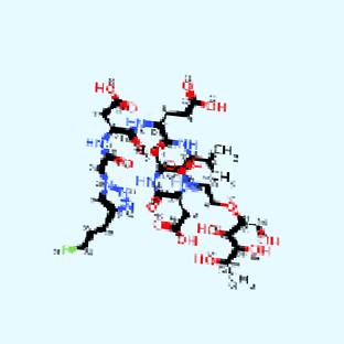 CC(C)[C@H](NC(=O)[C@H](CCC(=O)O)NC(=O)[C@H](CC(=O)O)NC(=O)Cn1cc(CCCF)nn1)C(=O)N[C@@H](CC(=O)O)C(=O)N[C@@H](C)C(=O)NCCO[C@H](CO)C(O)C(O)[C@H](C)O